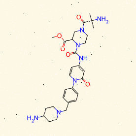 COC(=O)C1CN(C(=O)C(C)(C)N)CCN1C(=O)Nc1ccn(-c2ccc(CN3CCC(N)CC3)cc2)c(=O)c1